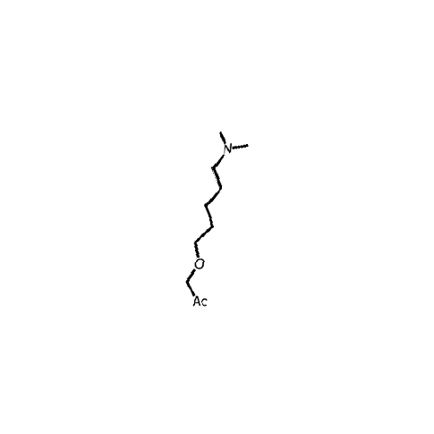 CC(=O)COCCCCCN(C)C